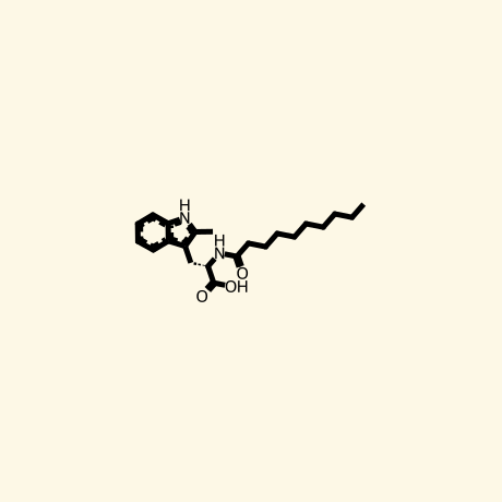 CCCCCCCCCC(=O)N[C@@H](Cc1c(C)[nH]c2ccccc12)C(=O)O